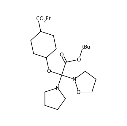 CCOC(=O)C1CCC(OC(C(=O)OC(C)(C)C)(N2CCCC2)N2CCCO2)CC1